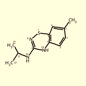 Cc1ccc2c(c1)SN=C(NC(C)C)N2